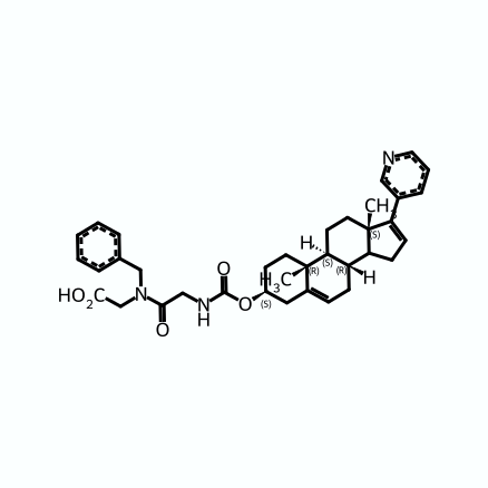 C[C@]12CC[C@H](OC(=O)NCC(=O)N(CC(=O)O)Cc3ccccc3)CC1=CC[C@H]1C3CC=C(c4cccnc4)[C@@]3(C)CC[C@@H]12